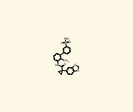 Cc1c(NC(=O)C2(c3ccc4c(c3)OCO4)CC2)cccc1-c1cccc(S(N)(=O)=O)c1